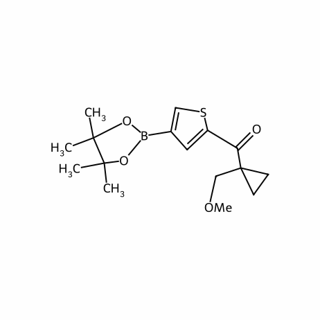 COCC1(C(=O)c2cc(B3OC(C)(C)C(C)(C)O3)cs2)CC1